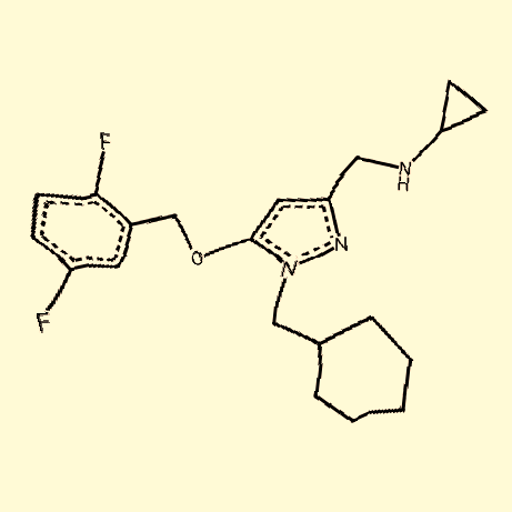 Fc1ccc(F)c(COc2cc(CNC3CC3)nn2CC2CCCCC2)c1